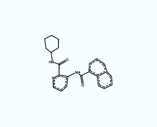 O=C(NC1CCCCC1)c1ncccc1NC(=O)c1cccc2ccccc12